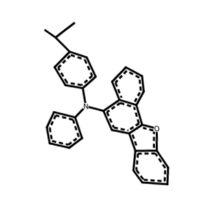 CC(C)c1ccc(N(c2ccccc2)c2cc3c4ccccc4oc3c3ccccc23)cc1